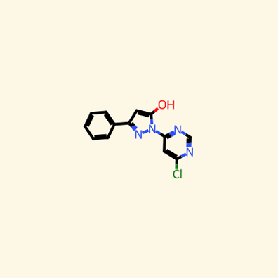 Oc1cc(-c2ccccc2)nn1-c1cc(Cl)ncn1